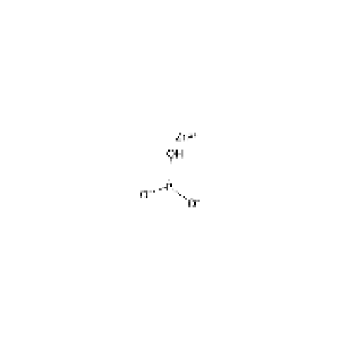 [O-]P([O-])O.[Zn+2]